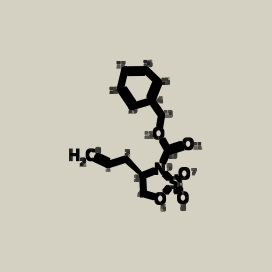 C=CC[C@@H]1COS(=O)(=O)N1C(=O)OCc1ccccc1